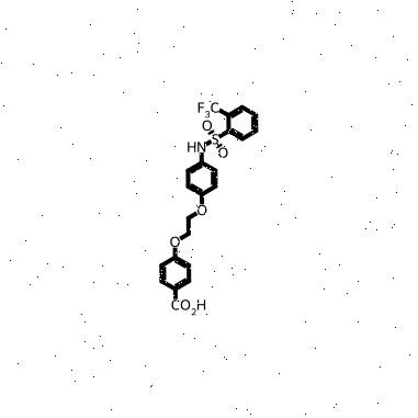 O=C(O)c1ccc(OCCOc2ccc(NS(=O)(=O)c3ccccc3C(F)(F)F)cc2)cc1